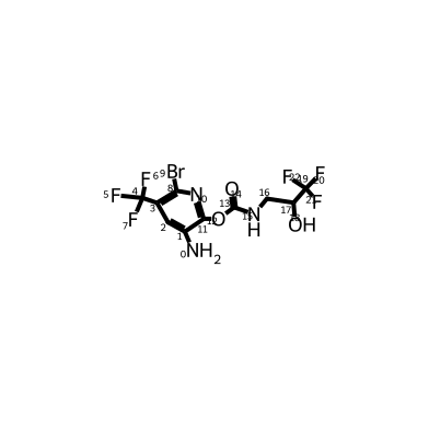 Nc1cc(C(F)(F)F)c(Br)nc1OC(=O)NCC(O)C(F)(F)F